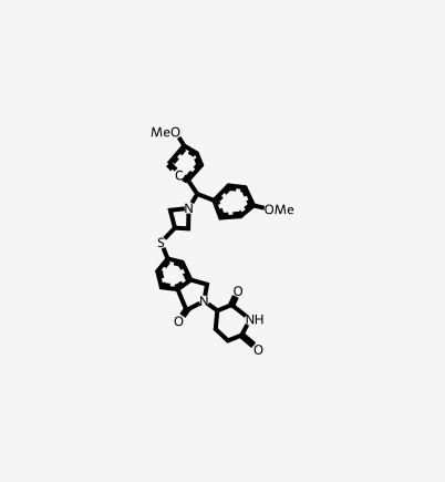 COc1ccc(C(c2ccc(OC)cc2)N2CC(Sc3ccc4c(c3)CN(C3CCC(=O)NC3=O)C4=O)C2)cc1